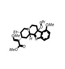 CCCO[C@]12CCN3C[C@@H](CC)[C@@H](/C(=C\OC)C(=O)OC)C[C@H]3C1=Nc1cccc(OC)c12